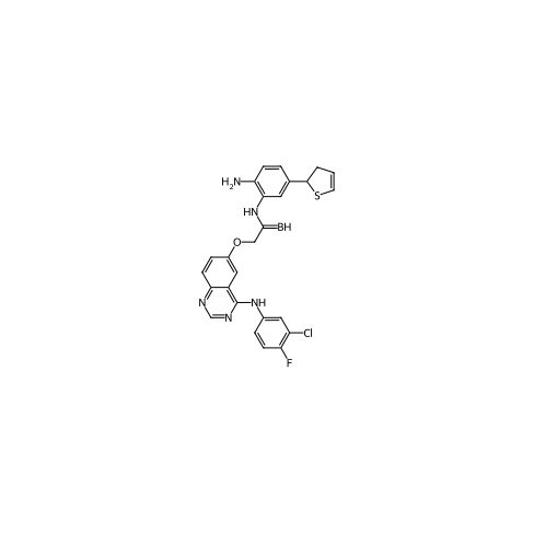 B=C(COc1ccc2ncnc(Nc3ccc(F)c(Cl)c3)c2c1)Nc1cc(C2CC=CS2)ccc1N